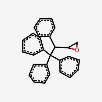 c1ccc(C(C2CO2)C(c2ccccc2)(c2ccccc2)c2ccccc2)cc1